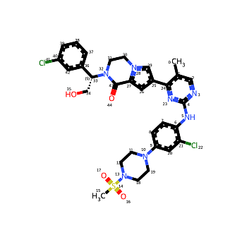 Cc1cnc(Nc2ccc(N3CCN(S(C)(=O)=O)CC3)cc2Cl)nc1-c1cc2n(c1)CCN([C@H](CO)c1cccc(Cl)c1)C2=O